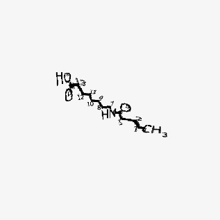 CCCCC(=O)NCCCCCCCC(=O)O